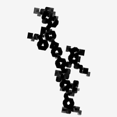 CCOc1nc2[nH]cc(F)c2cc1Oc1cc(N2CCC3(CC2)CC(N2CCN(Cc4ccnc5c4OCC(C)(C)O5)C[C@H]2c2ccccc2C(C)C)C3)ccc1C(=O)NS(=O)(=O)c1cnc(NCC2CCC(C)(O)CC2)c([N+](=O)[O-])c1